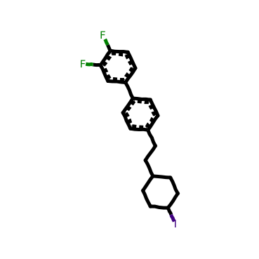 Fc1ccc(-c2ccc(CCC3CCC(I)CC3)cc2)cc1F